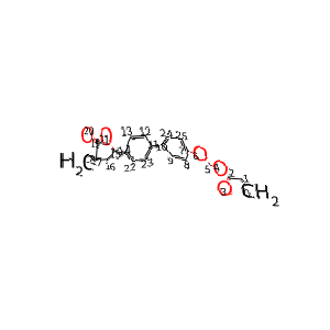 C=CC(=O)OCOc1ccc(-c2ccc(C3CC(=C)C(=O)O3)cc2)cc1